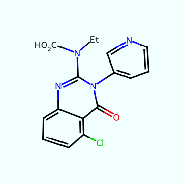 CCN(C(=O)O)c1nc2cccc(Cl)c2c(=O)n1-c1cccnc1